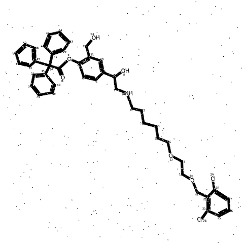 O=C(Oc1ccc(C(O)CNCCCCCCOCCOCc2c(Cl)cccc2Cl)cc1CO)C(c1ccccc1)(c1ccccc1)c1ccccc1